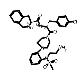 CS(=O)(=O)N(CCN)c1ccccc1N1CCN(C(=O)[C@@H](Cc2ccc(Cl)cc2)NC(=O)[C@@H]2Cc3ccccc3CN2)CC1